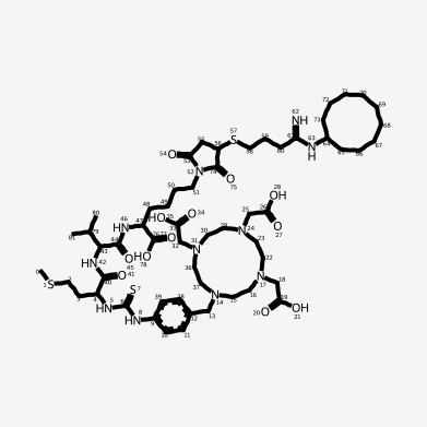 CSCCC(NC(=S)Nc1ccc(CN2CCN(CC(=O)O)CCN(CC(=O)O)CCN(CC(=O)O)CC2)cc1)C(=O)NC(C(=O)NC(CCCCN1C(=O)CC(SCCCC(=N)NC2CCCCCCCCC2)C1=O)C(=O)O)C(C)C